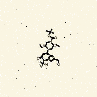 [2H]C([2H])([2H])n1c(=O)cc(N2C[C@@H](CC)N(C(=O)OC(C)(C)C)C[C@@H]2CC)c2nc(CCl)cn21